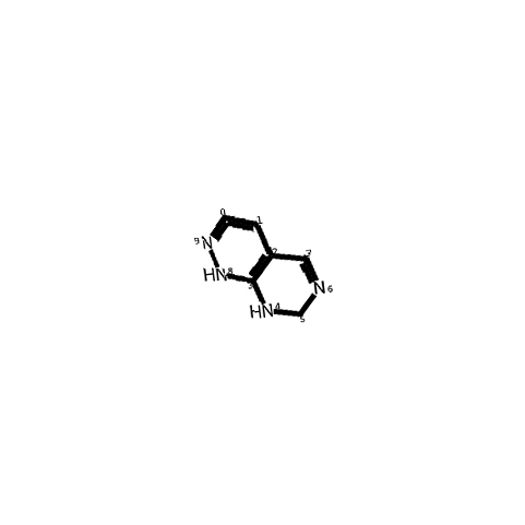 C1=CC2=C(NCN=C2)NN=1